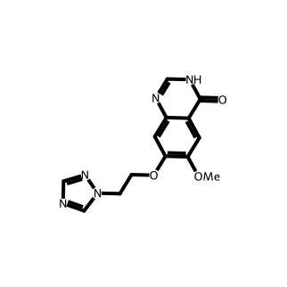 COc1cc2c(=O)[nH]cnc2cc1OCCn1cncn1